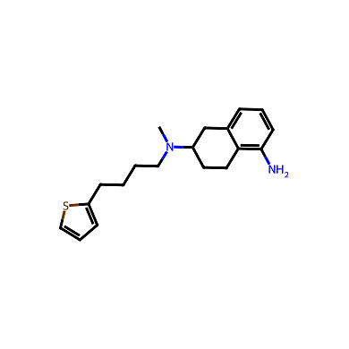 CN(CCCCc1cccs1)C1CCc2c(N)cccc2C1